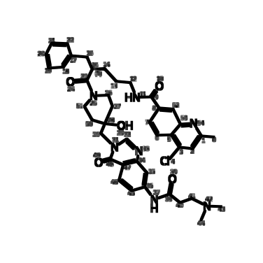 Cc1cc(Cl)c2ccc(C(=O)NCCC[C@H](Cc3ccccc3)C(=O)N3CCC(O)(Cn4cnc5cc(NC(=O)CCN(C)C)ccc5c4=O)CC3)cc2n1